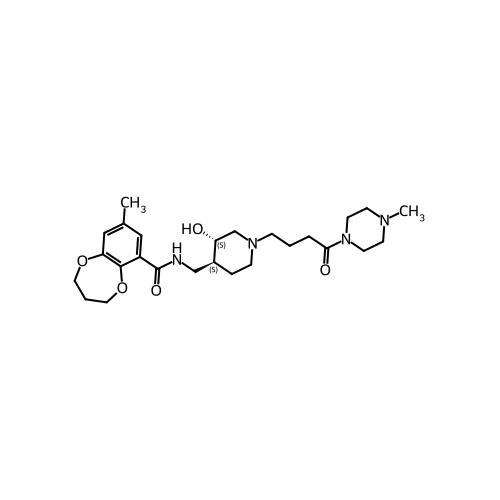 Cc1cc2c(c(C(=O)NC[C@@H]3CCN(CCCC(=O)N4CCN(C)CC4)C[C@H]3O)c1)OCCCO2